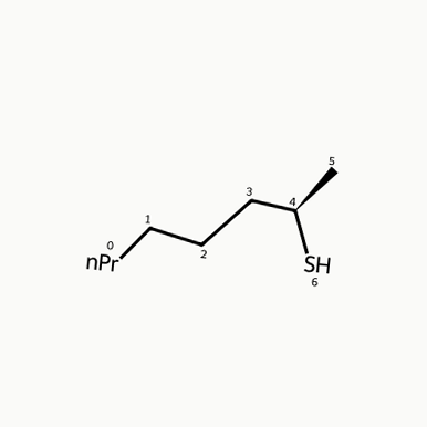 CCCCCC[C@@H](C)S